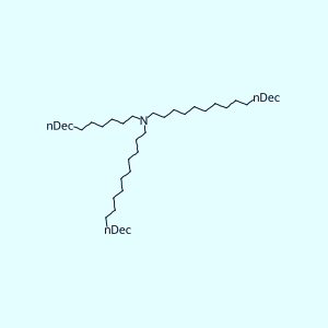 CCCCCCCCCCCCCCCCCCCCN(CCCCCCCCCCCCCCCC)CCCCCCCCCCCCCCCCCCCC